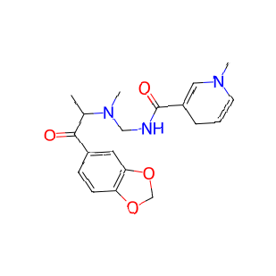 CC(C(=O)c1ccc2c(c1)OCO2)N(C)CNC(=O)C1=CN(C)C=CC1